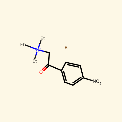 CC[N+](CC)(CC)CC(=O)c1ccc([N+](=O)[O-])cc1.[Br-]